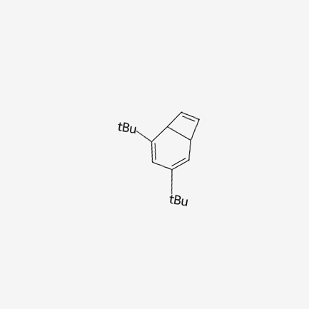 CC(C)(C)C1=CC2C=CC2C(C(C)(C)C)=C1